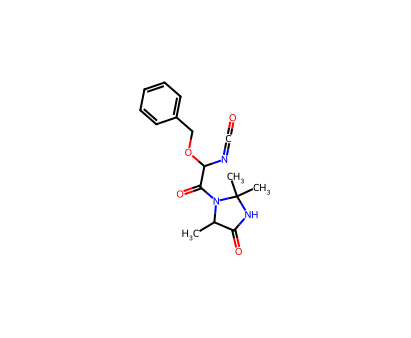 CC1C(=O)NC(C)(C)N1C(=O)C(N=C=O)OCc1ccccc1